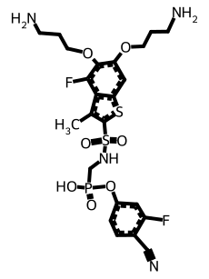 Cc1c(S(=O)(=O)NCP(=O)(O)Oc2ccc(C#N)c(F)c2)sc2cc(OCCCN)c(OCCCN)c(F)c12